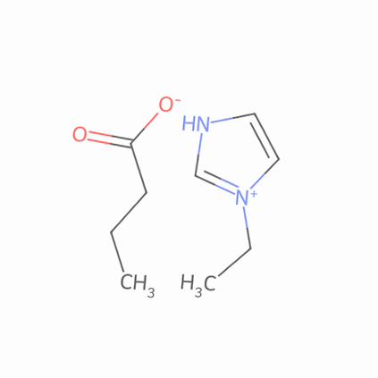 CCCC(=O)[O-].CC[n+]1cc[nH]c1